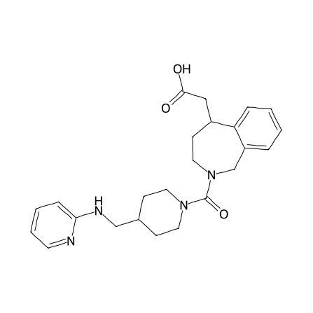 O=C(O)CC1CCN(C(=O)N2CCC(CNc3ccccn3)CC2)Cc2ccccc21